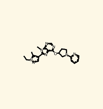 CCn1ncc(-c2nc3c(OC4CCN(c5ccccn5)C4)ncnc3n2C)c1C